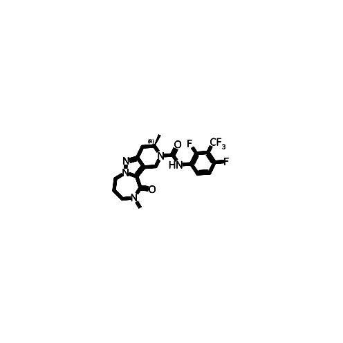 C[C@@H]1Cc2nn3c(c2CN1C(=O)Nc1ccc(F)c(C(F)(F)F)c1F)C(=O)N(C)CCC3